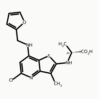 Cc1c(N[C@H](C)C(=O)O)sc2c(NCc3ccco3)cc(Cl)nc12